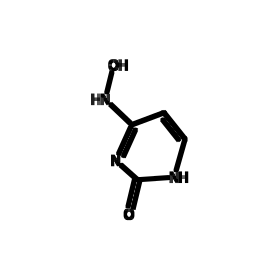 O=c1nc(NO)cc[nH]1